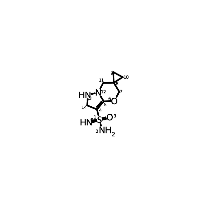 N=S(N)(=O)C1=C2OCC3(CC3)CN2NC1